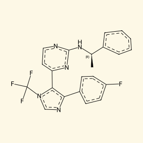 C[C@@H](Nc1nccc(-c2c(-c3ccc(F)cc3)ncn2C(F)(F)F)n1)c1ccccc1